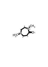 CN1CCC(=O)N(C)CC1